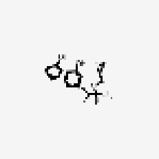 FC(F)C(F)(OCC1CO1)C(F)(F)F.Oc1ccccc1.Oc1ccccc1